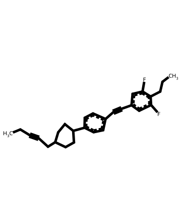 CCC#CCC1CCC(c2ccc(C#Cc3cc(F)c(CCC)c(F)c3)cc2)CC1